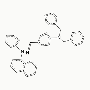 C(=N\N(c1ccccc1)c1cccc2ccccc12)/c1ccc(N(Cc2ccccc2)Cc2ccccc2)cc1